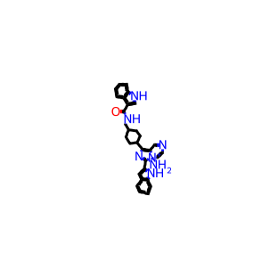 N[N+]12C=CN=CC1=C(C1CCC(CNC(=O)c3c[nH]c4ccccc34)CC1)N=C2c1cc2ccccc2[nH]1